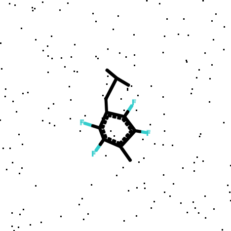 Cc1c(F)c(F)c(CC(C)C)c(F)c1F